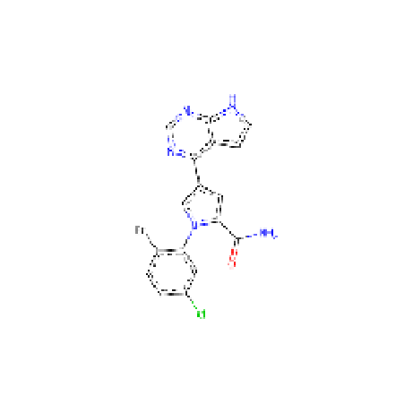 CCc1ccc(Cl)cc1-n1cc(-c2ncnc3[nH]ccc23)cc1C(N)=O